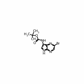 CC(C)(C)OC(=O)Nc1c[nH]c2ncc(Br)nc12